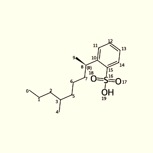 CCCC(C)CCC[C@@H](C)c1ccccc1S(=O)(=O)O